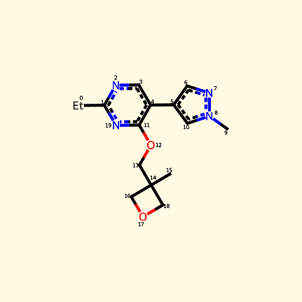 CCc1ncc(-c2cnn(C)c2)c(OCC2(C)COC2)n1